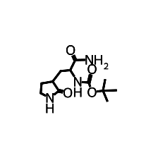 CC(C)(C)OC(=O)NC(CC1CCNC1=O)C(N)=O